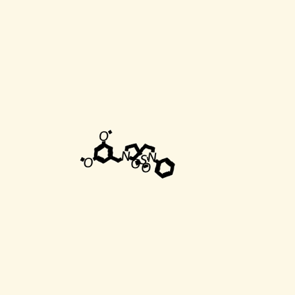 COc1cc(CN2CCC3(CCN(c4ccccc4)S3(=O)=O)C2)cc(OC)c1